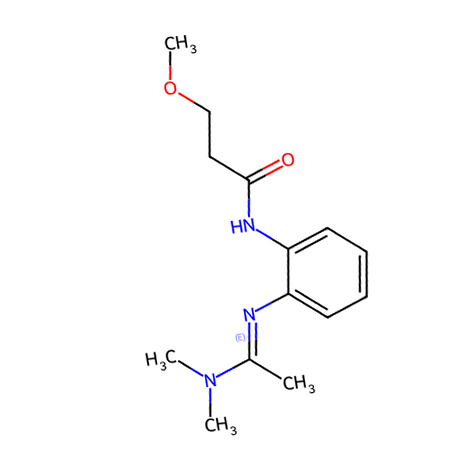 COCCC(=O)Nc1ccccc1/N=C(\C)N(C)C